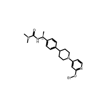 CCOc1cc(N2CCC(c3ccc([C@H](C)NC(=O)N(C)C)cc3)CC2)ccn1